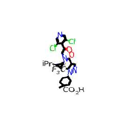 CC(C)[C@@H]1C[C@@H]1N(CC(=O)c1c(Cl)cncc1Cl)C(=O)c1cnn([C@H]2CC[C@](C)(C(=O)O)CC2)c1C(F)(F)F